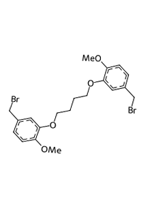 COc1ccc(CBr)cc1OCCCCOc1cc(CBr)ccc1OC